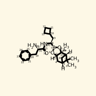 CC1(C)[C@@H]2C[C@H]3OB([C@H](CC4CCC4)NC(=O)[C@@H](N)Cc4ccccc4)O[C@@]3(C)[C@H]1C2